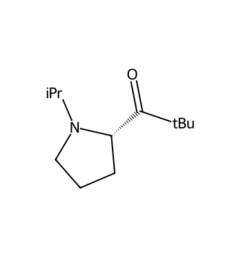 CC(C)N1CCC[C@H]1C(=O)C(C)(C)C